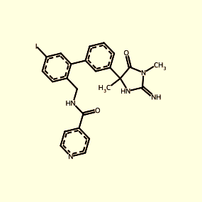 CN1C(=N)NC(C)(c2cccc(-c3cc(I)ccc3CNC(=O)c3ccncc3)c2)C1=O